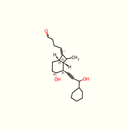 CC1/C(=C/CCC=O)[C@H]2CC[C@@H](O)[C@H](C#CC(O)C3CCCCC3)[C@@H]12